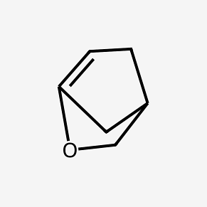 C1=C2CC(C1)CO2